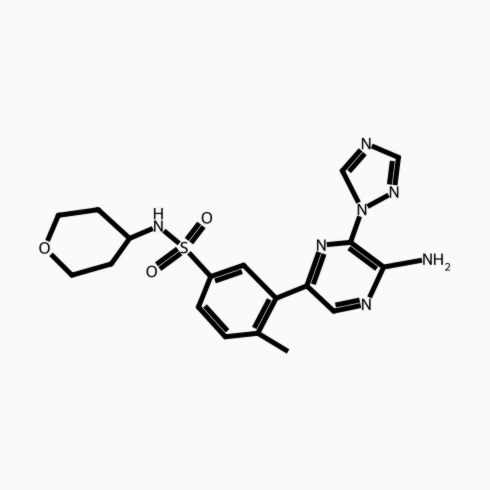 Cc1ccc(S(=O)(=O)NC2CCOCC2)cc1-c1cnc(N)c(-n2cncn2)n1